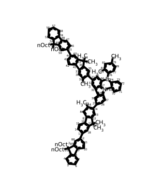 CCCCCCCCC1(CCCCCCCC)c2ccccc2-c2ccc(-c3ccc4c(c3)C(C)(C)c3cc(-c5ccc6c(c5)c5cc(-c7cc8c(cc7C)-c7ccc(-c9ccc%10c(c9)C(CCCCCCCC)(CCCCCCCC)c9ccccc9-%10)cc7C8(C)C)cc7c5n6-c5ccccc5B7c5ccc(C)cc5C)c(C)cc3-4)cc21